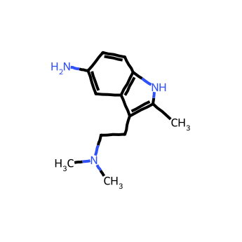 Cc1[nH]c2ccc(N)cc2c1CCN(C)C